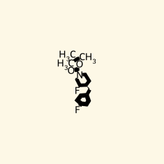 CC(C)(C)OC(=O)N1CC[C@H](Cc2ccc(F)cc2)[C@H](F)C1